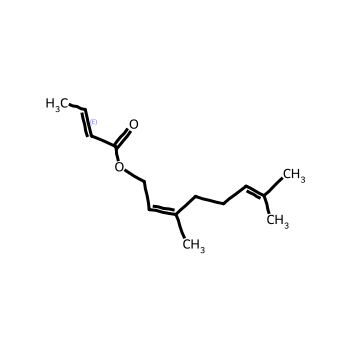 C/C=C/C(=O)OCC=C(C)CCC=C(C)C